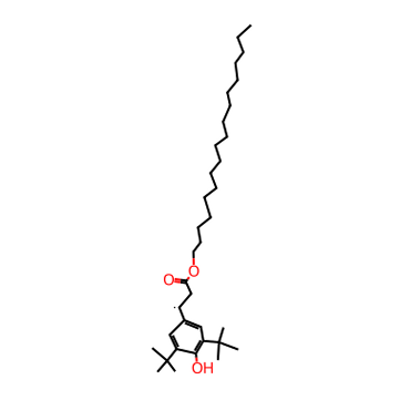 CCCCCCCCCCCCCCCCCCOC(=O)C[CH]c1cc(C(C)(C)C)c(O)c(C(C)(C)C)c1